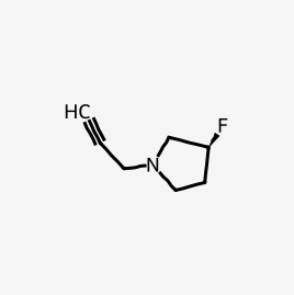 C#CCN1CC[C@H](F)C1